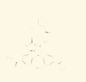 CNC(=O)c1ccc2c(c1)CCc1cc(C(=O)NC)ccc1C2(C[C@H](C)NCC(=O)N1CCC[C@H]1C#N)c1nn(C)c(=O)[nH]1